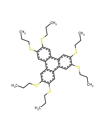 CCCSc1cc2c3cc(SCCC)c(SCCC)cc3c3cc(SCCC)c(SCCC)cc3c2cc1SCCC